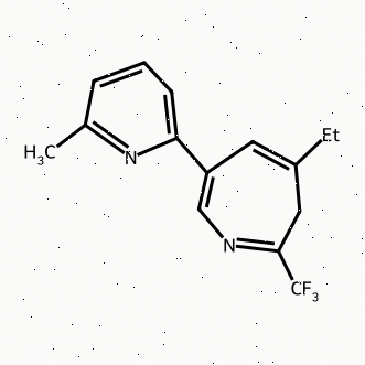 CCC1=CC(c2cccc(C)n2)=CN=C(C(F)(F)F)C1